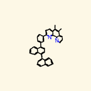 Cc1c(C)c2ccc(-c3cccc(-c4ccc(-c5cccc6ccccc56)c5ccccc45)c3)nc2c2ncccc12